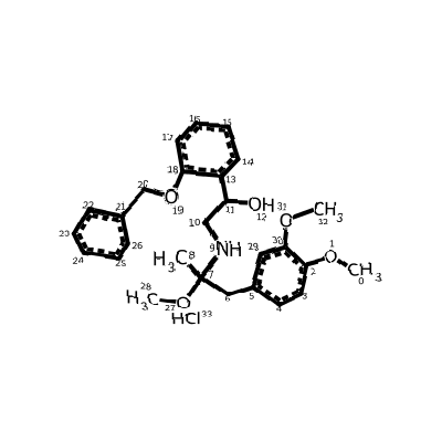 COc1ccc(CC(C)(NCC(O)c2ccccc2OCc2ccccc2)OC)cc1OC.Cl